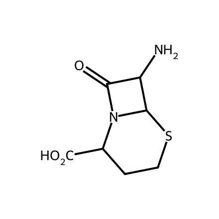 NC1C(=O)N2C(C(=O)O)CCSC12